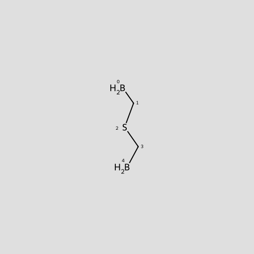 BCSCB